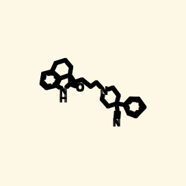 N#CC1(c2ccccc2)CCN(CCCCC23CCCc4cccc(c42)NC3=O)CC1